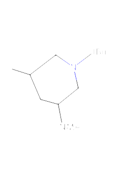 CNC1CC(C)CN(C(C)(C)C)C1